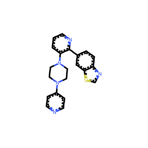 c1cnc(-c2ccc3ncsc3c2)c(N2CCN(c3ccncc3)CC2)c1